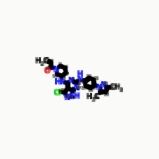 C=CC(=O)N1CCC[C@@H](Nc2nc(Nc3ccc(-n4nc(C)cc4C)cc3)nc3[nH]nc(Cl)c23)C1